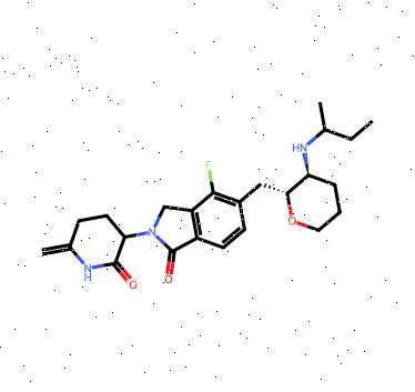 C=C1CCC(N2Cc3c(ccc(C[C@H]4OCCC[C@@H]4NC(C)CC)c3F)C2=O)C(=O)N1